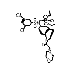 CCOP(=O)(CN(c1ccc2c(ccn2C(=O)CN2CCOCC2)c1)S(=O)(=O)c1cc(Cl)cc(Cl)c1)OCC